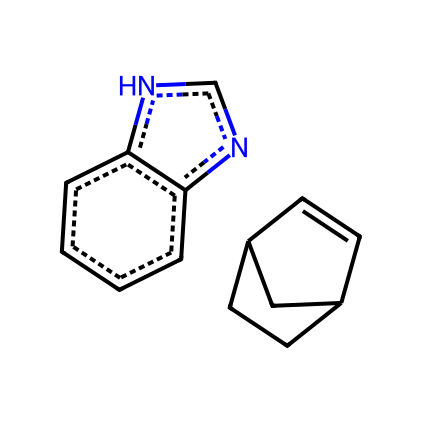 C1=CC2CCC1C2.c1ccc2[nH]cnc2c1